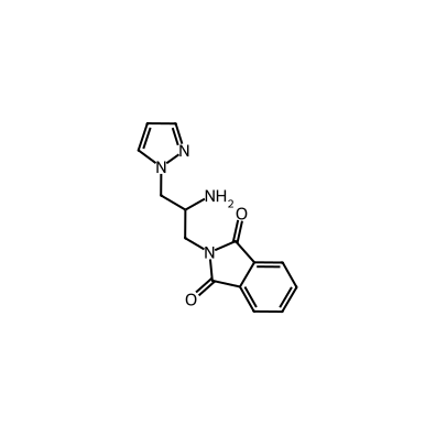 NC(CN1C(=O)c2ccccc2C1=O)Cn1cccn1